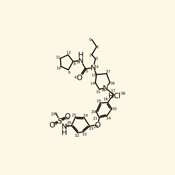 CCCCN(C(=O)NC1CCCC1)C1CCN(Cc2ccc(Oc3ccc(NS(C)(=O)=O)cc3)cc2)CC1.Cl